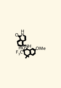 COc1ccc2c(c1)C(Nc1cccc3c(=O)[nH]ccc13)C(O)(C(F)(F)F)CC2(C)C